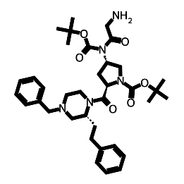 CC(C)(C)OC(=O)N1C[C@@H](N(C(=O)CN)C(=O)OC(C)(C)C)C[C@@H]1C(=O)N1CCN(Cc2ccccc2)C[C@H]1CCc1ccccc1